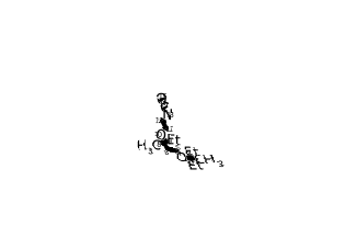 CCC(C)(CC)OCCC(C)(CC)OCCN=C=O